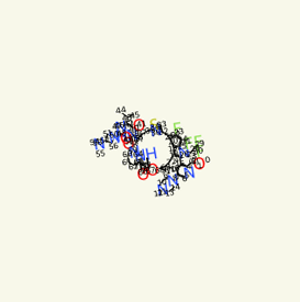 CO[C@@H](C)c1ncc(N2CCN(C)CC2)cc1-c1c2c3cc(c(F)cc3n1CC(F)(F)F)-c1csc(n1)C[C@H](NC(=O)[C@H](C(C)C)N(C)C(=O)N1CC(N(C)C)C1)C(=O)N1CCC[C@H](N1)C(=O)OCC(C)(C)C2